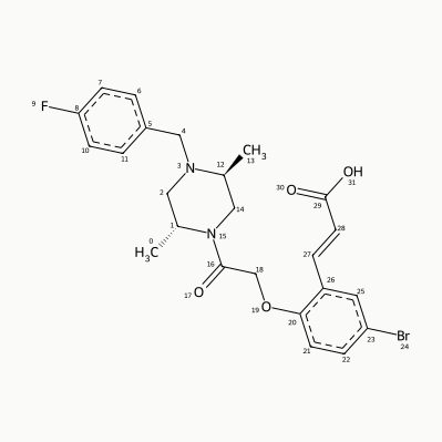 C[C@@H]1CN(Cc2ccc(F)cc2)[C@@H](C)CN1C(=O)COc1ccc(Br)cc1C=CC(=O)O